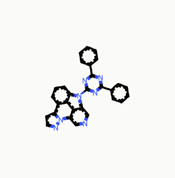 c1ccc(-c2nc(-c3ccccc3)nc(-n3c4cccc5c4c4c3cncc4n3nccc53)n2)cc1